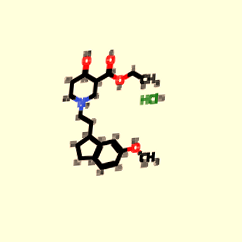 CCOC(=O)C1CN(CCC2CCc3ccc(OC)cc32)CCC1=O.Cl